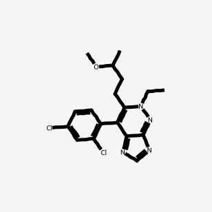 CCn1nc2ncnc-2c(-c2ccc(Cl)cc2Cl)c1CCC(C)OC